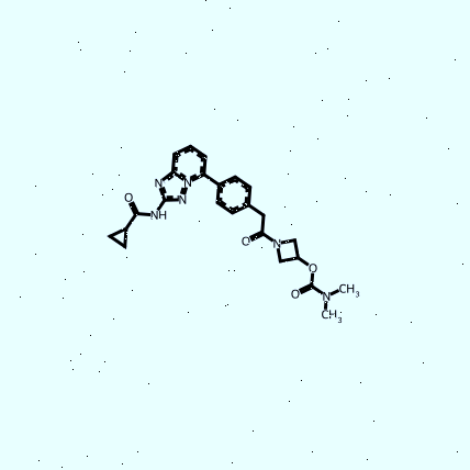 CN(C)C(=O)OC1CN(C(=O)Cc2ccc(-c3cccc4nc(NC(=O)C5CC5)nn34)cc2)C1